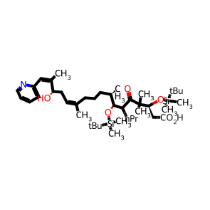 CCCC(C(=O)C(C)(C)[C@H](CC(=O)O)O[Si](C)(C)C(C)(C)C)[C@@H](O[Si](C)(C)C(C)(C)C)[C@@H](C)CCCC(C)=CC[C@H](O)C(C)=Cc1ccccn1